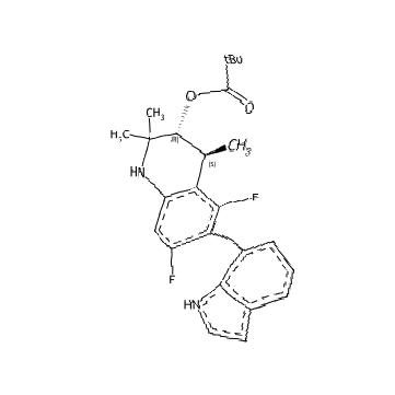 C[C@H]1c2c(cc(F)c(-c3cccc4cc[nH]c34)c2F)NC(C)(C)[C@@H]1OC(=O)C(C)(C)C